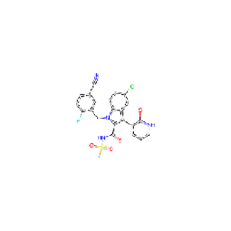 CS(=O)(=O)NC(=O)c1c(-c2ccc[nH]c2=O)c2cc(Cl)ccc2n1Cc1cc(C#N)ccc1F